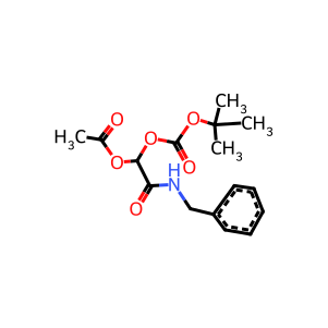 CC(=O)OC(OC(=O)OC(C)(C)C)C(=O)NCc1ccccc1